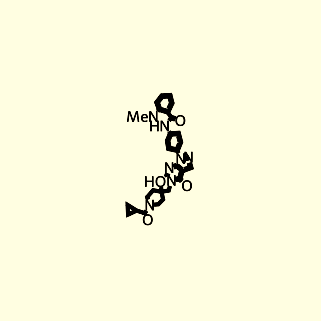 CNc1ccccc1C(=O)Nc1ccc(-n2ncc3c(=O)n(CC4(O)CCN(C(=O)C5CC5)CC4)cnc32)cc1